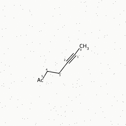 CC#C[CH]CC(C)=O